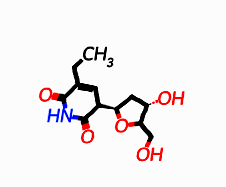 CCC1=CC([C@H]2C[C@H](O)C(CO)O2)C(=O)NC1=O